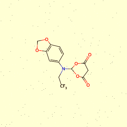 O=C1CC(=O)OC(N(CC(F)(F)F)c2ccc3c(c2)OCO3)O1